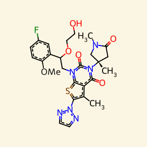 COc1ccc(F)cc1C(Cn1c(=O)n([C@@]2(C)CC(=O)N(C)C2)c(=O)c2c(C)c(-n3nccn3)sc21)OCCO